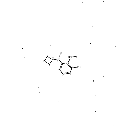 CNc1c(F)cccc1[C@@H](C)N1CCC1